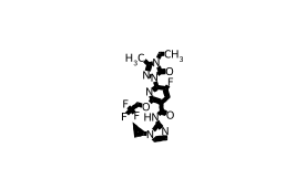 CCn1c(C)nn(-c2nc(OCC(F)(F)F)c(C(=O)Nc3nccn3C3CC3)cc2F)c1=O